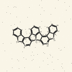 c1ccc2c(c1)sc1ncc3c(c4cccc5c6c7c(ncc6n3c45)sc3ccccc37)c12